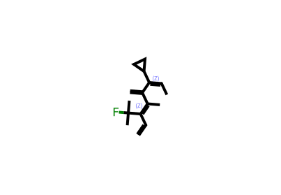 C=C/C(=C(\C)C(=C)/C(=C\C)C1CC1)C(C)(C)F